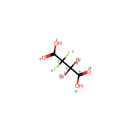 O=C(O)C(F)(F)C(Br)(Br)C(=O)O